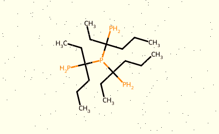 CCCC(P)(CC)P(C(P)(CC)CCC)C(P)(CC)CCC